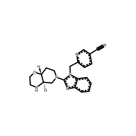 N#Cc1ccc(Cn2c(N3CC[C@H]4OCCN[C@@H]4C3)nc3ccccc32)nc1